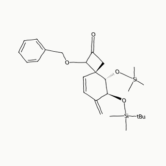 C=C1C=C[C@@]2(CC(=O)C2OCc2ccccc2)[C@H](O[Si](C)(C)C)[C@H]1O[Si](C)(C)C(C)(C)C